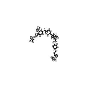 CCOc1cc(CN2CCC(c3noc(COc4ccc(C=CC(=O)NO)cc4)n3)CC2)ccc1OCCCS(C)(=O)=O